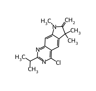 C=C1N(C)c2cc3nc(C(C)C)nc(Cl)c3cc2C1(C)C